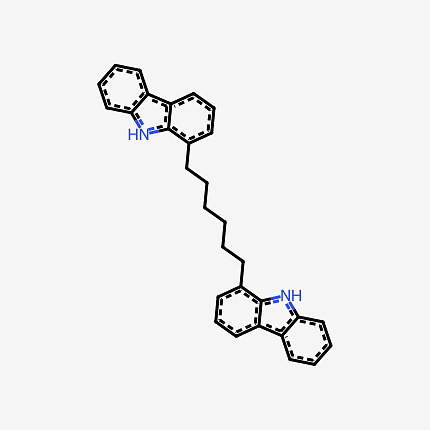 c1ccc2c(c1)[nH]c1c(CCCCCCc3cccc4c3[nH]c3ccccc34)cccc12